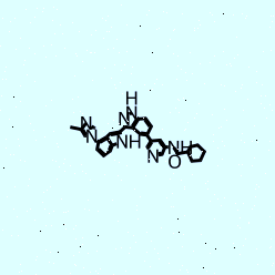 Cc1cn(-c2cccc3[nH]c(-c4n[nH]c5ccc(-c6cncc(NC(=O)C7CCCCC7)c6)cc45)cc23)cn1